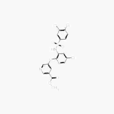 COC(=O)c1cncc(Oc2ncc(Cl)cc2NS(=O)(=O)c2ccc(Cl)c(Cl)c2)c1